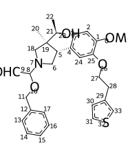 COc1ccc([C@@H]2CN(C(C=O)OCc3ccccc3)C[C@@]2(C)[C@@H](C)O)cc1OCCc1ccsc1